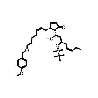 CC/C=C\C[C@H](CC(O)[C@H]1C(=O)C=C[C@@H]1C/C=C\CCCCOCc1ccc(OC)cc1)O[Si](C)(C)C(C)(C)C